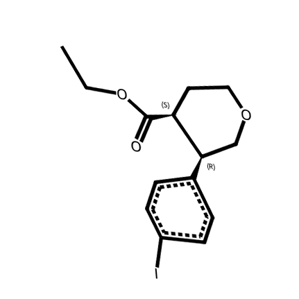 CCOC(=O)[C@H]1CCOC[C@H]1c1ccc(I)cc1